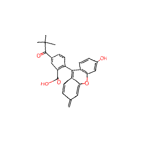 C=c1ccc2c(c1)Oc1cc(O)ccc1C=2c1ccc(C(=O)C(C)(C)C)cc1C(=O)O